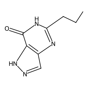 CCCc1nc2cn[nH]c2c(=O)[nH]1